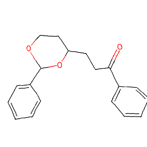 O=C(CCC1CCOC(c2ccccc2)O1)c1ccccc1